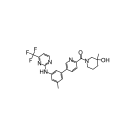 Cc1cc(Nc2nccc(C(F)(F)F)n2)cc(-c2ccc(C(=O)N3CCCC(C)(O)C3)nc2)c1